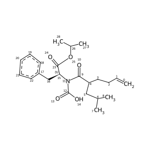 C=CCCC(CC(C)C)C(=O)N(C(=O)O)[C@@H](Cc1ccccc1)C(=O)OC(C)C